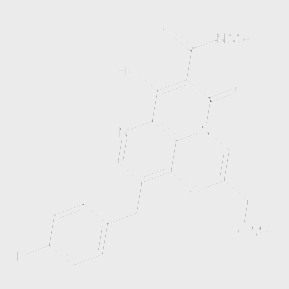 CNC(=O)c1c(O)c2ncc(Cc3ccc(F)cc3)c3c2n(c1=O)C=C(COC)O3